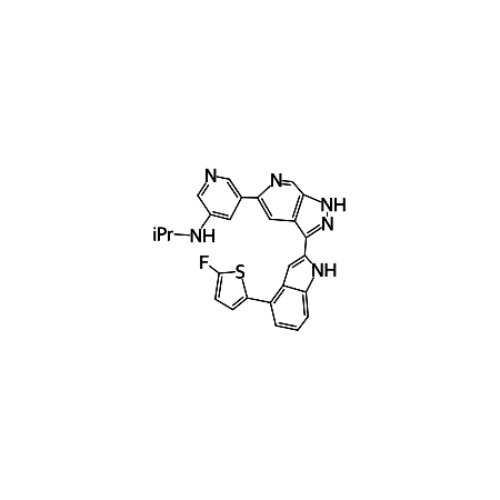 CC(C)Nc1cncc(-c2cc3c(-c4cc5c(-c6ccc(F)s6)cccc5[nH]4)n[nH]c3cn2)c1